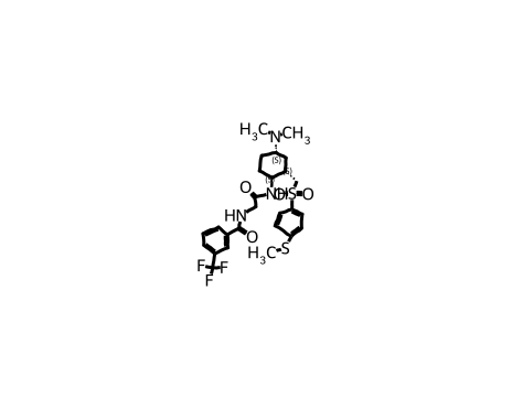 CSc1ccc(S(=O)(=O)C[C@H]2C[C@@H](N(C)C)CC[C@@H]2NC(=O)CNC(=O)c2cccc(C(F)(F)F)c2)cc1